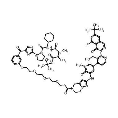 C[C@@H](C(=O)N[C@H](C(=O)N1CCC[C@H]1c1nc(C(=O)c2cccc(OCCOCCOCCOCCC(=O)N3CCn4nc(Nc5cc(-c6ccnc(-n7ncc8cc(C(C)(C)C)cc(F)c8c7=O)c6CO)cn(C)c5=O)cc4C3)c2)cs1)C1CCCCC1)N(C)C(=O)OC(C)(C)C